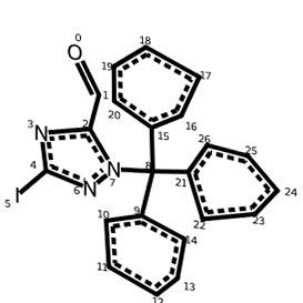 O=Cc1nc(I)nn1C(c1ccccc1)(c1ccccc1)c1ccccc1